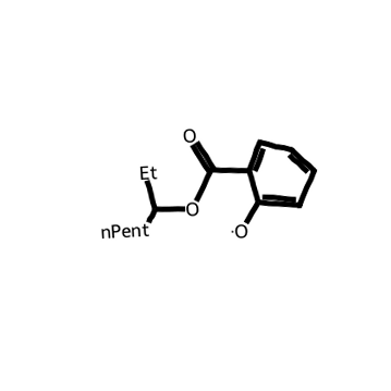 CCCCCC(CC)OC(=O)c1ccccc1[O]